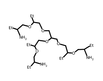 CCC(N)COC(CC)COCC(COCC(CC)OCC(N)CC)OCC(CC)OCC(N)CC